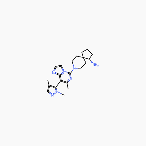 Cc1cnn(C)c1-c1c(C)nc(N2CCC3(CCC[C@H]3N)CC2)n2ccnc12